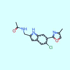 CC(=O)NCc1cc2cc(Cl)c(-c3nc(C)co3)cc2[nH]1